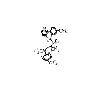 CCN(C(=O)c1cc(C)ccc1-n1nccn1)[C@@H](C)CN(C)c1ncc(C(F)(F)F)cn1